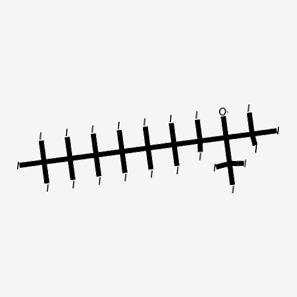 [O]C(C(I)(I)I)(C(I)(I)I)C(I)(I)C(I)(I)C(I)(I)C(I)(I)C(I)(I)C(I)(I)C(I)(I)I